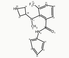 CN(c1c(C(=O)Nc2ccccc2)ccnc1C(F)(F)F)C1CNC1